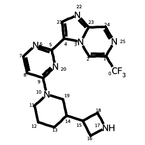 FC(F)(F)c1cn2c(-c3nccc(N4CCCC(C5CNC5)C4)n3)cnc2cn1